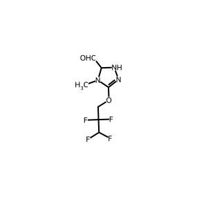 CN1C(OCC(F)(F)C(F)F)=NNC1C=O